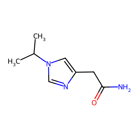 CC(C)n1cnc(CC(N)=O)c1